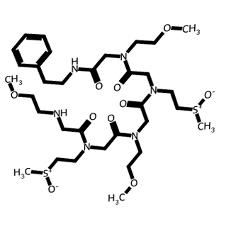 COCCNCC(=O)N(CC[S+](C)[O-])CC(=O)N(CCOC)CC(=O)N(CC[S+](C)[O-])CC(=O)N(CCOC)CC(=O)NCCc1ccccc1